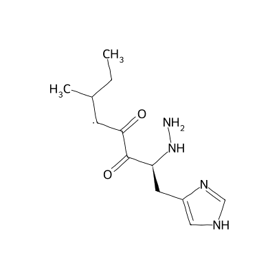 CCC(C)[CH]C(=O)C(=O)[C@H](Cc1c[nH]cn1)NN